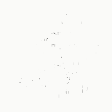 CN[C@H](CC(C)C)C(=O)N[C@H]1C(=O)N[C@@H](CC(=O)NC(=O)NCc2ccccc2)C(=O)N[C@H]2C(=O)N[C@H]3C(=O)N[C@H](C(=O)N[C@H](C(=O)NC4C5CC6CC(C5)CC4C6)c4cc(O)cc(C)c4-c4cc3ccc4O)[C@H](O)c3ccc(c(Cl)c3)Oc3cc2cc(c3O[C@@H]2O[C@H](CN)[C@@H](O)[C@H](O)[C@H]2O)Oc2ccc(cc2C)[C@H]1O